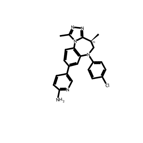 Cc1nnc2n1-c1ccc(-c3ccc(N)nc3)cc1N(c1ccc(Cl)cc1)C[C@@H]2C